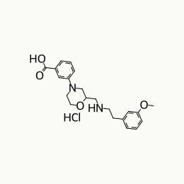 COc1cccc(CCNCC2CN(c3cccc(C(=O)O)c3)CCO2)c1.Cl